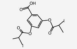 CC(I)C(=O)Oc1cc(OC(=O)C(C)I)cc(C(=O)O)c1